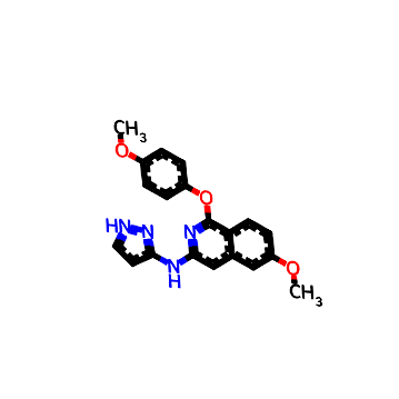 COc1ccc(Oc2nc(Nc3cc[nH]n3)cc3cc(OC)ccc23)cc1